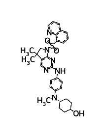 CN(c1ccc(Nc2ncc3c(n2)N(S(=O)(=O)c2cccc4cccnc24)CC3(C)C)cc1)[C@H]1CC[C@H](O)CC1